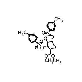 COC(OC)[C@@H]1OC[C@H](OS(=O)(=O)c2ccc(C)cc2)[C@H]1OS(=O)(=O)c1ccc(C)cc1